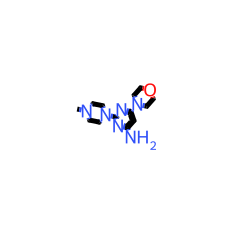 CN1CCN(c2nc(N)cc(N3CCOCC3)n2)CC1